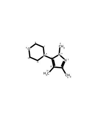 Cc1nn(C)c(N2CCOCC2)c1C